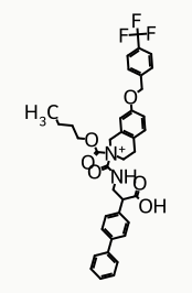 CCCCOC(=O)[N+]1(C(=O)NCC(C(=O)O)c2ccc(-c3ccccc3)cc2)CCc2ccc(OCc3ccc(C(F)(F)F)cc3)cc2C1